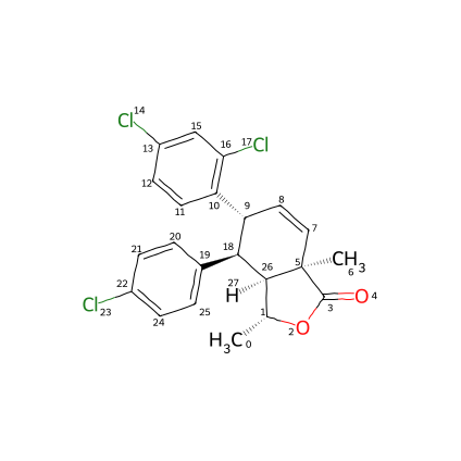 C[C@H]1OC(=O)[C@]2(C)C=C[C@@H](c3ccc(Cl)cc3Cl)[C@H](c3ccc(Cl)cc3)[C@H]12